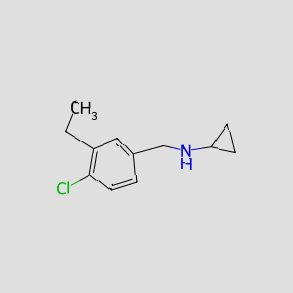 CCc1cc(CNC2CC2)ccc1Cl